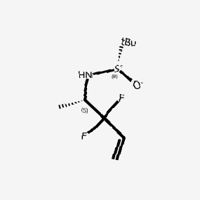 C=CC(F)(F)[C@H](C)N[S@@+]([O-])C(C)(C)C